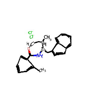 Cc1ccccc1C(=O)[NH][Ti+2]([CH]1C=Cc2ccccc21)[SiH](C)C.[Cl-].[Cl-]